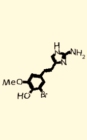 COc1cc(/C=C/c2c[nH]c(N)n2)cc(Br)c1O